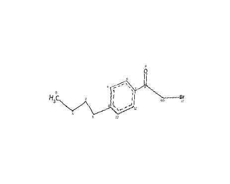 CCCCc1ccc(C(=O)CBr)cc1